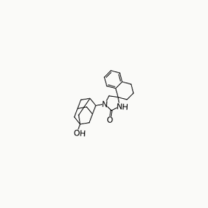 O=C1NC2(CCCc3ccccc32)CN1C1C2CC3CC1CC(O)(C3)C2